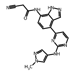 Cn1cc(Nc2nccc(-c3ccc(NC(=O)CC#N)c4[nH]ncc34)n2)cn1